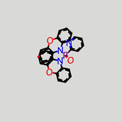 O=P(c1ccccn1)(N1c2ccccc2Oc2ccccc21)N1c2ccccc2Oc2ccccc21